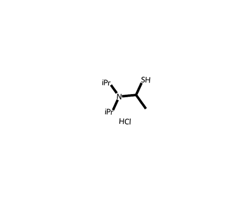 CC(C)N(C(C)C)C(C)S.Cl